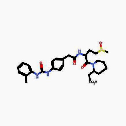 Cc1ccccc1NC(=O)Nc1ccc(CC(=O)NC(CC[S+](C)[O-])C(=O)N2CCCCC2CC(=O)O)cc1